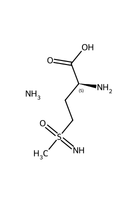 CS(=N)(=O)CC[C@H](N)C(=O)O.N